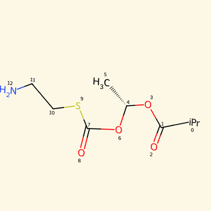 CC(C)C(=O)O[C@@H](C)OC(=O)SCCN